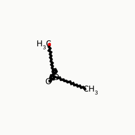 CCCCCCCCCCCCCCCCCCOc1cc(C=O)ccc1-c1cccc(CCCCCCCCCCCCCCC)c1